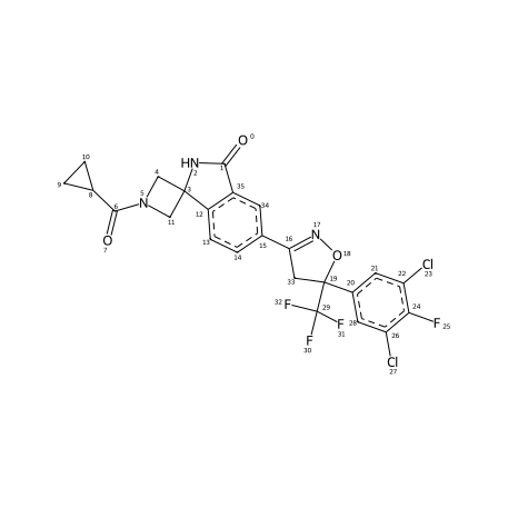 O=C1NC2(CN(C(=O)C3CC3)C2)c2ccc(C3=NOC(c4cc(Cl)c(F)c(Cl)c4)(C(F)(F)F)C3)cc21